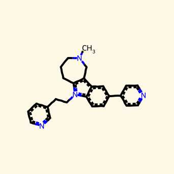 CN1CCCc2c(c3cc(-c4ccncc4)ccc3n2CCc2cccnc2)C1